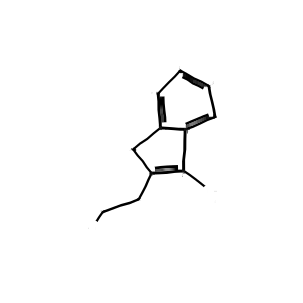 OCCC1=C(O)c2ccccc2C1